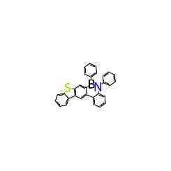 c1ccc(B2c3cc4sc5ccccc5c4cc3-c3ccccc3N2c2ccccc2)cc1